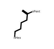 C=C(CCCCC)CCCCCCCCCC